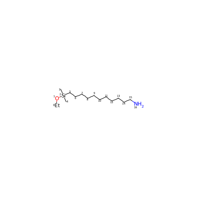 CCO[Si](C)(C)CCCCCCCCCCCN